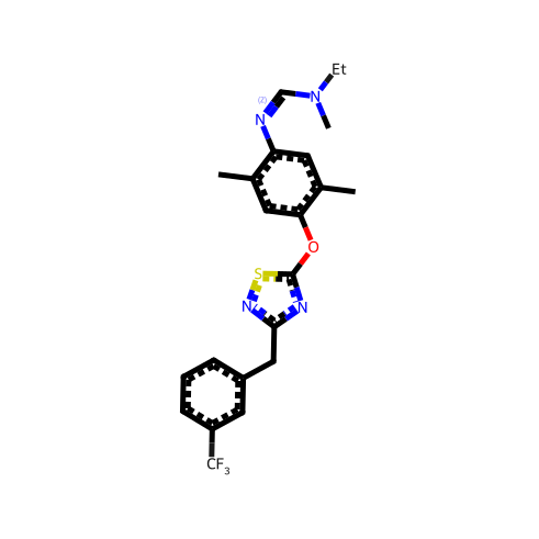 CCN(C)/C=N\c1cc(C)c(Oc2nc(Cc3cccc(C(F)(F)F)c3)ns2)cc1C